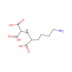 NCCCCC([AsH]C(C(=O)O)C(=O)O)C(=O)O